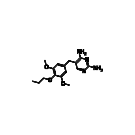 CCCOc1c(OC)cc(Cc2cnc(N)nc2N)cc1OC